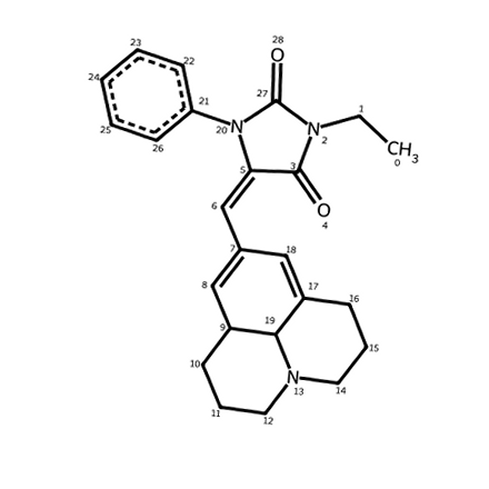 CCN1C(=O)/C(=C\C2=CC3CCCN4CCCC(=C2)C34)N(c2ccccc2)C1=O